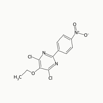 CCOc1c(Cl)nc(-c2ccc([N+](=O)[O-])cc2)nc1Cl